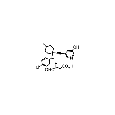 CC1CCC(C#Cc2cncc(O)c2)(Oc2ccc(Cl)cc2)CC1.O=CNCC(=O)O